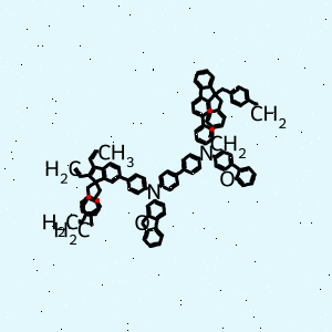 C=CC1=C(/C=C\C)c2ccc(-c3ccc(N(c4ccc(-c5ccc(N(c6ccc(-c7ccc8c(c7)C(Cc7ccc(C=C)cc7)(Cc7ccc(C=C)cc7)c7ccccc7-8)cc6)c6ccc7c(c6)oc6ccccc67)cc5)cc4)c4ccc5c(c4)oc4ccccc45)cc3)cc2C1(Cc1ccc(C=C)cc1)Cc1ccc(C=C)cc1